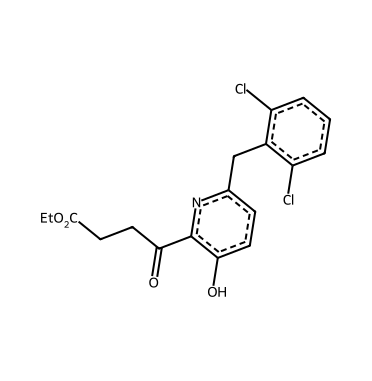 CCOC(=O)CCC(=O)c1nc(Cc2c(Cl)cccc2Cl)ccc1O